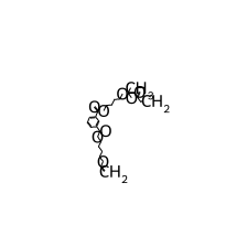 C=COCCCCOC(=O)c1cccc(C(=O)OCCCCOC(C)OC(=O)C=C)c1